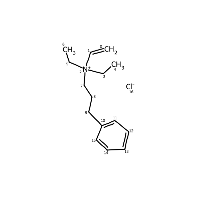 C=C[N+](CC)(CC)CCCc1ccccc1.[Cl-]